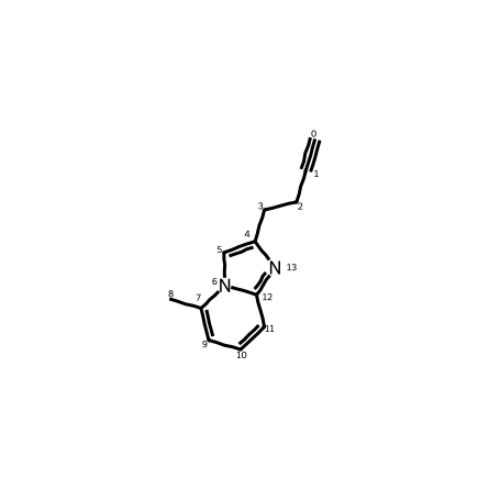 C#CCCc1cn2c(C)cccc2n1